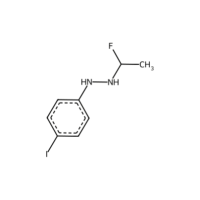 CC(F)NNc1ccc(I)cc1